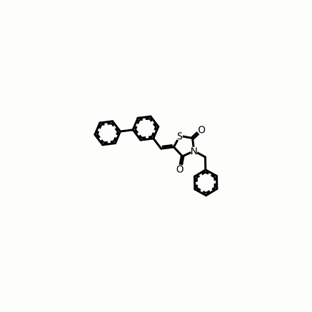 O=C1S/C(=C\c2cccc(-c3ccccc3)c2)C(=O)N1Cc1ccccc1